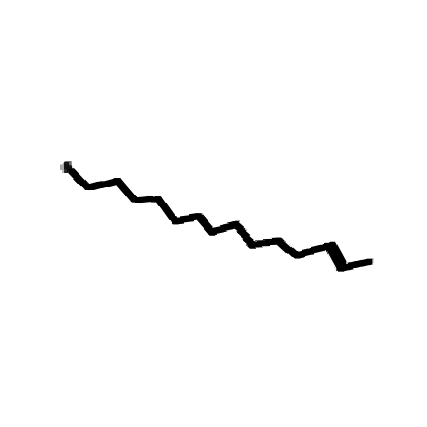 CC=CCCCCCCCCCCC[S]